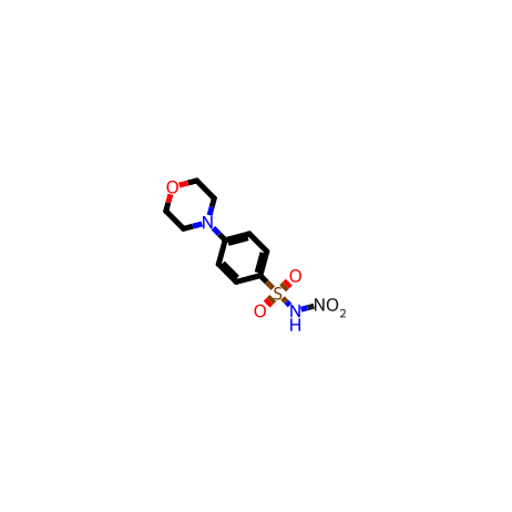 O=[N+]([O-])NS(=O)(=O)c1ccc(N2CCOCC2)cc1